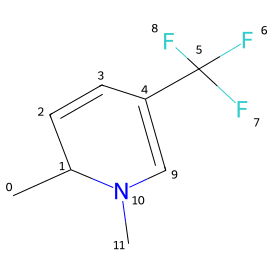 CC1C=CC(C(F)(F)F)=CN1C